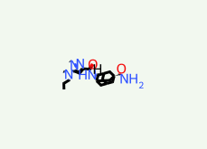 CCCN(C)c1cc(C(=O)N[C@H]2C3CC4CC2C[C@](C(N)=O)(C4)C3)nn1C